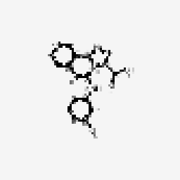 O=C(O)c1nnc2c3cnccc3nc(Nc3cccc(Cl)c3)n12